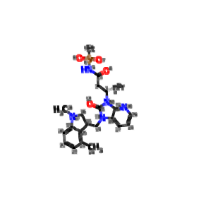 CCC[C@@H](CC(=O)NS(=O)(=O)CC)n1c(=O)n(CC2CN(C)c3cccc(C)c32)c2cccnc21